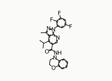 Cc1nn(-c2cc(F)cc(F)c2F)c2ncc(C(=O)NN3CCOc4ccccc43)c(C(C)C)c12